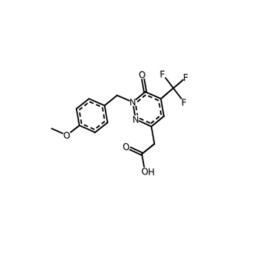 COc1ccc(Cn2nc(CC(=O)O)cc(C(F)(F)F)c2=O)cc1